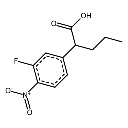 CCCC(C(=O)O)c1ccc([N+](=O)[O-])c(F)c1